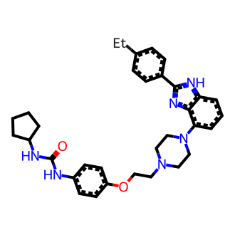 CCc1ccc(-c2nc3c(N4CCN(CCOc5ccc(NC(=O)NC6CCCC6)cc5)CC4)cccc3[nH]2)cc1